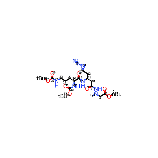 CCCCOC(=O)CN(C)NC(=O)C[C@H](CCN=[N+]=[N-])NC(=O)[C@H](CCCNC(=O)OC(C)(C)C)NC(=O)OC(C)(C)C